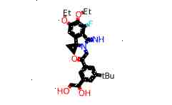 CCOc1cc2c(c(F)c1OCC)C(=N)N(CC(=O)c1cc(C(O)CO)cc(C(C)(C)C)c1)C21CC1